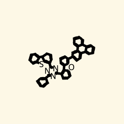 C1=CC(c2nc(-c3ccccc3)nc(-c3cccc4oc5c(-c6ccc7c8ccccc8c8ccccc8c7c6)cccc5c34)n2)=C2Sc3ccccc3C2C1